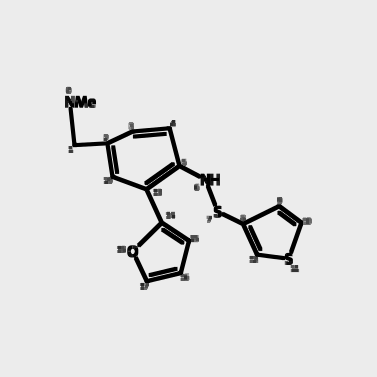 CNCc1ccc(NSc2ccsc2)c(-c2ccco2)c1